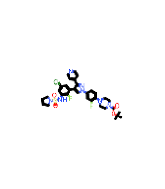 CC(C)(C)OC(=O)N1CCN(c2ccc(-n3cc(-c4cc(Cl)cc(NS(=O)(=O)N5CCCC5)c4F)c(-c4ccncc4)n3)cc2F)CC1